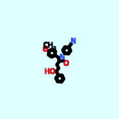 COc1ccc(C2C(CCC(O)c3ccccc3)C(=O)N2c2ccc(C#N)cc2)cc1